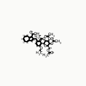 CCOc1ccc(Cc2cc3cccccc-3c2C(=O)O)cc1[C@@H]1O[C@H](COC(C)=O)[C@H](OC(C)=O)[C@H](OC(C)=O)[C@@H]1OC(C)=O